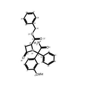 COc1cccc(C(C(N)=O)(c2ccccc2)N2C(=O)CC2C(=O)OCc2ccccc2)c1